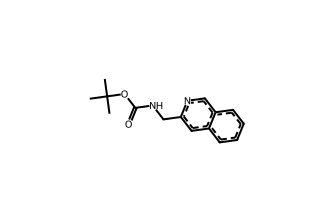 CC(C)(C)OC(=O)NCc1cc2ccccc2cn1